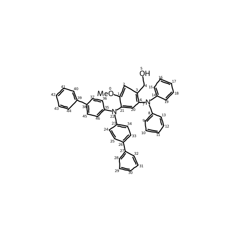 COc1cc(CO)c(N(c2ccccc2)c2ccccc2)cc1N(c1ccc(-c2ccccc2)cc1)c1ccc(-c2ccccc2)cc1